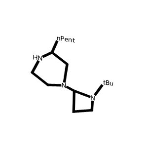 CCCCCC1CN(C2CCN2C(C)(C)C)CCN1